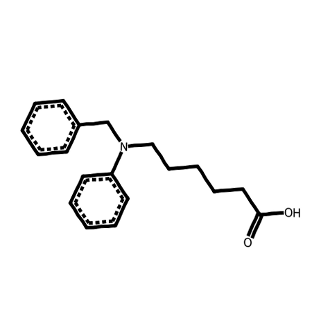 O=C(O)CCCCCN(Cc1ccccc1)c1ccccc1